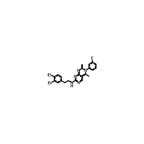 C=C1N=c2nc(NCCc3ccc(CC)c(CC)c3)ncc2=C(C)N1c1cccc(F)c1